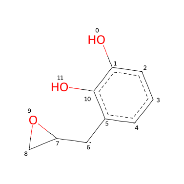 Oc1cccc([CH]C2CO2)c1O